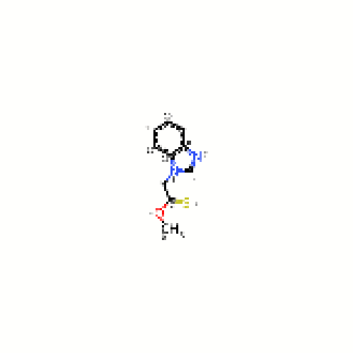 COC(=S)Cn1cnc2ccccc21